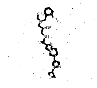 CCN(Cc1ccccc1C)C[C@@H](O)CNC(=O)c1cn2cc(-c3cnn(C4COC4)c3)ccc2n1